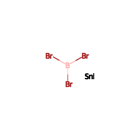 BrB(Br)Br.[Sn]